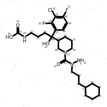 NN(CCCC1CCCCC1)C(=O)N1CCCC(C(O)(CCCNC(=O)O)c2ccc(F)c(Cl)c2F)C1